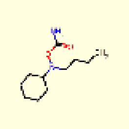 CCCCN(OC(N)=O)C1CCCCC1